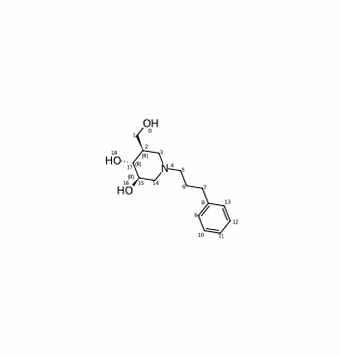 OC[C@H]1CN(CCCc2ccccc2)C[C@@H](O)[C@@H]1O